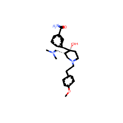 COc1ccc(CCN2CC[C@](O)(c3cccc(C(N)=O)c3)[C@@H](CN(C)C)C2)cc1